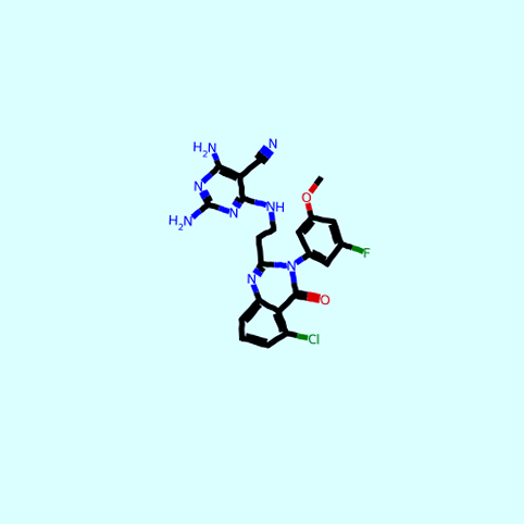 COc1cc(F)cc(-n2c(CCNc3nc(N)nc(N)c3C#N)nc3cccc(Cl)c3c2=O)c1